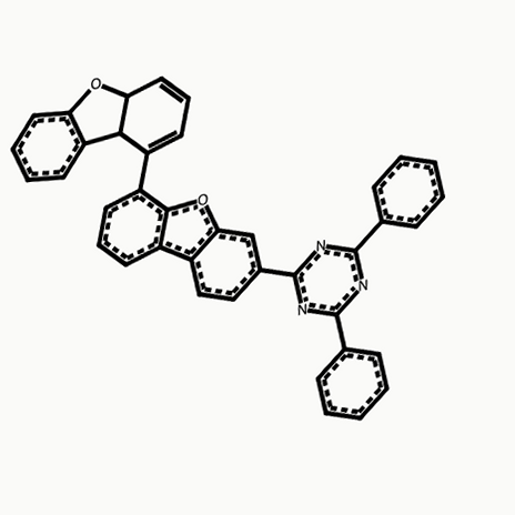 C1=CC2Oc3ccccc3C2C(c2cccc3c2oc2cc(-c4nc(-c5ccccc5)nc(-c5ccccc5)n4)ccc23)=C1